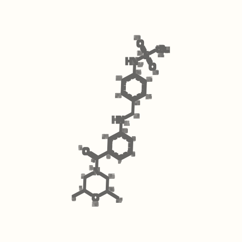 CC1CN(C(=O)c2cccc(NCc3ccc(NS(=O)(=O)C(C)(C)C)cc3)c2)CC(C)O1